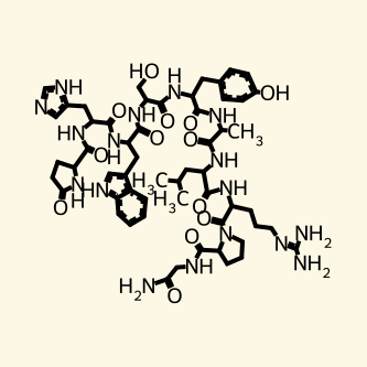 CC(C)CC(NC(=O)C(C)NC(=O)C(Cc1ccc(O)cc1)NC(=O)C(CO)NC(=O)C(Cc1c[nH]c2ccccc12)NC(=O)C(Cc1cnc[nH]1)NC(=O)C1CCC(=O)N1)C(=O)NC(CCCN=C(N)N)C(=O)N1CCCC1C(=O)NCC(N)=O